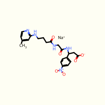 Cc1ccnc(NCCCC(=O)NCC(=O)NC(CC(=O)[O-])c2ccc([N+](=O)[O-])cc2)c1.[Na+]